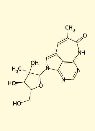 CC1=Cc2cn(C3O[C@H](CO)[C@@H](O)[C@@]3(C)O)c3ncnc(c23)NC1=O